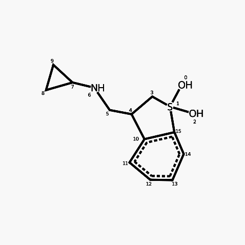 OS1(O)CC(CNC2CC2)c2ccccc21